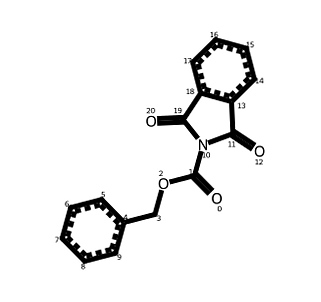 O=C(OCc1ccccc1)N1C(=O)c2ccccc2C1=O